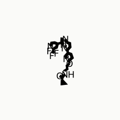 O=C(NCCCOc1ccc(-c2ccc3ncc(-c4ccnc(C(F)(F)F)c4)n3n2)cn1)C1CC1